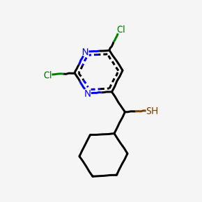 SC(c1cc(Cl)nc(Cl)n1)C1CCCCC1